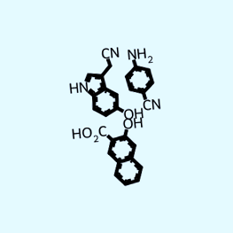 N#CCc1c[nH]c2ccc(O)cc12.N#Cc1ccc(N)cc1.O=C(O)c1cc2ccccc2cc1O